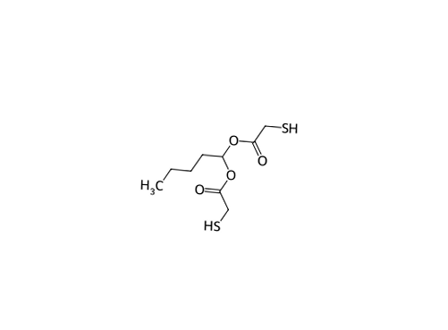 CCCCC(OC(=O)CS)OC(=O)CS